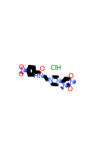 Cl.Cn1c(N2CCN(CCNC(=O)c3ccc([N+](=O)[O-])cc3)CC2)cc(=O)n(C)c1=O